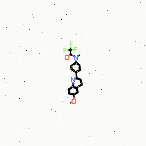 COc1ccc2nc(-c3ccc(N(C)C(=O)C(F)(F)F)cc3)ccc2c1